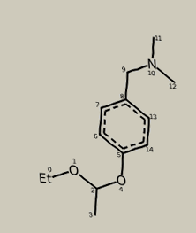 CCOC(C)Oc1ccc(CN(C)C)cc1